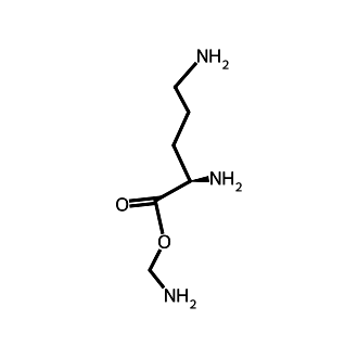 NCCC[C@@H](N)C(=O)OCN